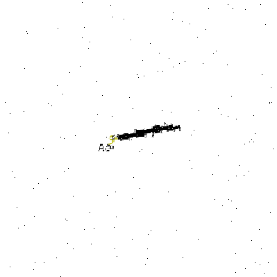 CC#CC#CC#CC#CSC(C)=O